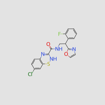 O=C(NCC(c1ncco1)c1ccccc1F)C1=Nc2ccc(Cl)cc2SN1